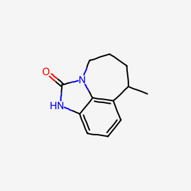 CC1CCCn2c(=O)[nH]c3cccc1c32